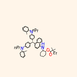 CCCN(c1ccc(C(c2ccc(N(CCC)c3ccccc3C)cc2)c2ccc(NC3CCCCC3OC(=O)C(C)(C)CC)c3ccccc23)cc1)c1ccccc1C